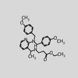 CCOC(=O)CCNC(C)c1cccnc1N(Cc1ccc(OC)cc1)Cc1ccc(OC)cc1